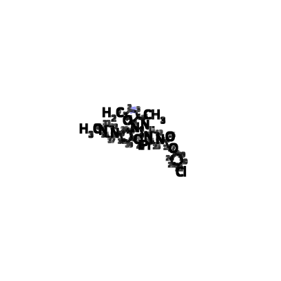 C=C/C=C\c1c(C)nc(CN2CCN(C(=O)COc3ccc(Cl)cc3)CC2)n(-c2cc(N3CCN(C)CC3)ccc2OC(C)C)c1=O